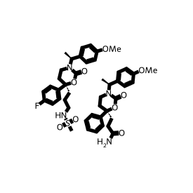 COc1ccc([C@H](C)N2CC[C@](CCC(N)=O)(c3ccccc3)OC2=O)cc1.COc1ccc([C@H](C)N2CC[C@](CCCNS(C)(=O)=O)(c3ccc(F)cc3)OC2=O)cc1